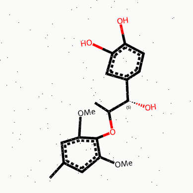 COc1cc(C)cc(OC)c1OC(C)[C@@H](O)c1ccc(O)c(O)c1